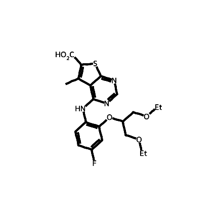 CCOCC(COCC)Oc1cc(F)ccc1Nc1ncnc2sc(C(=O)O)c(C)c12